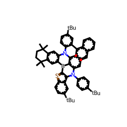 Cc1cc2c3c(c1)N(c1ccc(C(C)(C)C)cc1)c1c(sc4ccc(C(C)(C)C)cc14)B3c1cc3c(cc1N2c1ccc(C(C)(C)C)cc1-c1cccc2ccccc12)C(C)(C)CCC3(C)C